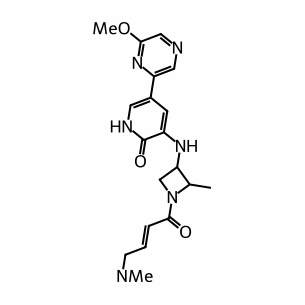 CNC/C=C/C(=O)N1CC(Nc2cc(-c3cncc(OC)n3)c[nH]c2=O)C1C